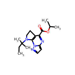 CCC(C)(C)N1CCc2c(C(=O)OC(C)C)nc3ccnn3c21